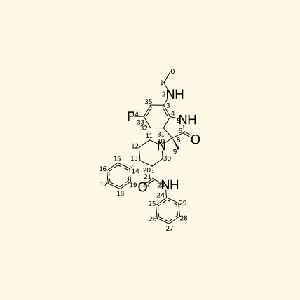 CCNC1=C2NC(=O)[C@](C)(N3CC[C@@H](c4ccccc4)[C@@H](C(=O)Nc4ccccc4)C3)C2CC(F)=C1